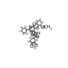 COc1ccccc1Oc1c(Cl)nc(-c2ccccc2)nc1NS(=O)(=O)c1ccc2c(c1)OCO2